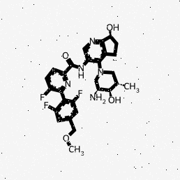 COCc1cc(F)c(-c2nc(C(=O)Nc3cnc4c(c3N3C[C@@H](N)[C@H](O)[C@@H](C)C3)CC[C@@H]4O)ccc2F)c(F)c1